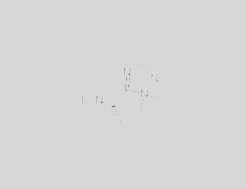 C[N+]1(C)N=CN=C1C(N)=O